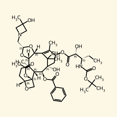 CC[C@H](NC(=O)OC(C)(C)C)[C@@H](O)C(=O)O[C@H]1C[C@@]2(O)[C@@H](OC(=O)c3ccccc3)[C@H]3[C@@](C)(CC[C@H]4OC[C@]43OC(C)=O)[C@@H]3O[C@H](CN4CC(C)(O)C4)O[C@@H]3C(=C1C)C2(C)C